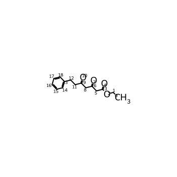 CCOC(=O)CC(=O)CC(=O)CCc1ccccc1